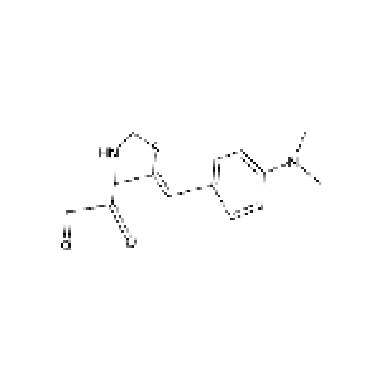 CN(C)c1ccc(C=C2SCNC2C(=O)C=O)cc1